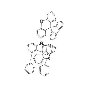 c1ccc2c(c1)Cc1ccccc1-c1c(cccc1N(c1ccc3c(c1)C1(c4ccccc4O3)c3ccccc3-c3ccccc31)c1cccc3sc4ccccc4c13)Cc1ccccc1-2